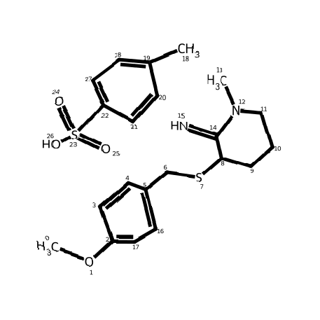 COc1ccc(CSC2CCCN(C)C2=N)cc1.Cc1ccc(S(=O)(=O)O)cc1